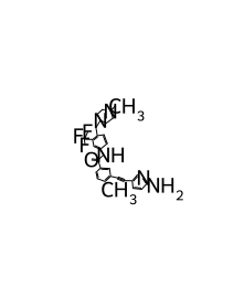 Cc1ccc(C(=O)Nc2ccc(CN3CCN(C)CC3)c(C(F)(F)F)c2)cc1C#Cc1ccc(N)nc1